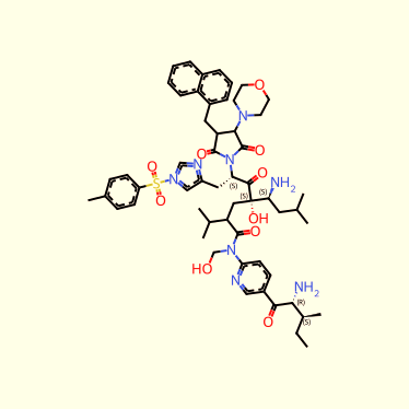 CC[C@H](C)[C@@H](N)C(=O)c1ccc(N(CO)C(=O)C(C[C@@](O)(C(=O)[C@H](Cc2cn(S(=O)(=O)c3ccc(C)cc3)cn2)N2C(=O)C(Cc3cccc4ccccc34)C(N3CCOCC3)C2=O)[C@@H](N)CC(C)C)C(C)C)nc1